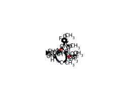 CC[C@@H]1C[C@H](C)CC/C=C\C2C[C@@]2(C(=O)NS(=O)(=O)C2(C)CC2)NC(=O)[C@@H]2C[C@@H](Oc3nc(OC)cc4cc(OC)c(F)cc34)CN2C(=O)[C@H]1NC(=O)OC(C)(C)C(F)(F)F